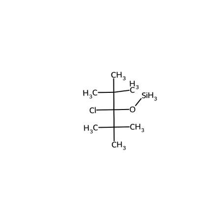 CC(C)(C)C(Cl)(O[SiH3])C(C)(C)C